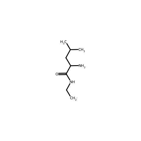 [CH2]CNC(=O)C(N)CC(C)C